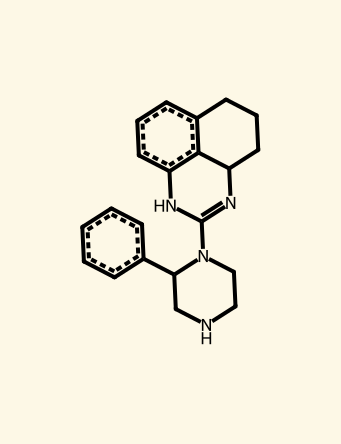 c1ccc(C2CNCCN2C2=NC3CCCc4cccc(c43)N2)cc1